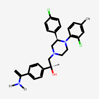 C=C(c1ccc([C@](C)(O)CN2CCN(c3ccc(C#N)cc3Cl)[C@H](c3ccc(Cl)cc3)C2)cc1)N(CC)CC